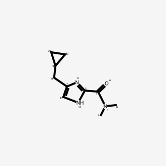 CN(C)C(=O)c1nc(CC2CC2)c[nH]1